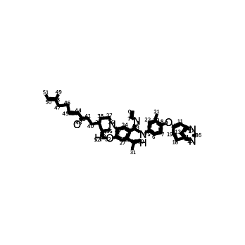 C=C/N=C(/Nc1ccc(OC2=Cc3cc(ncn3)C=C2)c(C)c1)c1cc2c(cc1C(=C)C)OC[C@H]1CN2CCC1CCC(=O)/C=C/CC/C(C)=C/C